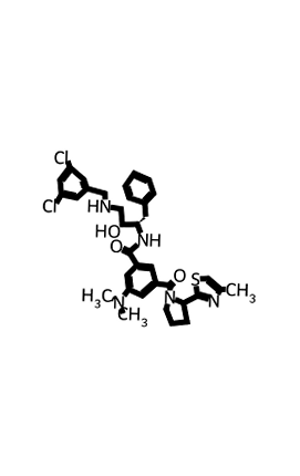 Cc1csc(C2CCCN2C(=O)c2cc(C(=O)N[C@@H](Cc3ccccc3)[C@H](O)CNCc3cc(Cl)cc(Cl)c3)cc(N(C)C)c2)n1